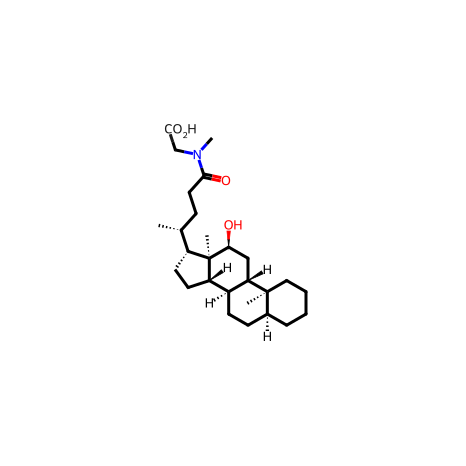 C[C@H](CCC(=O)N(C)CC(=O)O)[C@H]1CC[C@H]2[C@@H]3CC[C@@H]4CCCC[C@]4(C)[C@H]3C[C@H](O)[C@]12C